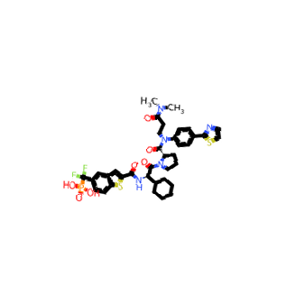 CN(C)C(=O)CCN(C(=O)[C@@H]1CCCN1C(=O)[C@@H](NC(=O)c1cc2cc(C(F)(F)P(=O)(O)O)ccc2s1)C1CCCCC1)c1ccc(-c2nccs2)cc1